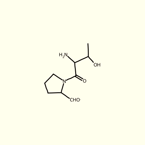 CC(O)C(N)C(=O)N1CCCC1[C]=O